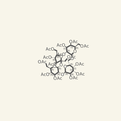 CC(=O)OC[C@H]1O[C@H](OC[C@H]2O[C@H](O[C@H]3[C@@H](O[C@]4(COC(C)=O)O[C@H](COC(C)=O)[C@@H](OC(C)=O)[C@@H]4OC(C)=O)O[C@H](COC(C)=O)[C@@H](OC(C)=O)[C@@H]3OC(C)=O)[C@H](OC(C)=O)[C@@H](OC(C)=O)[C@H]2OC(C)=O)[C@H](OC(C)=O)[C@@H](OC(C)=O)[C@H]1OC(C)=O